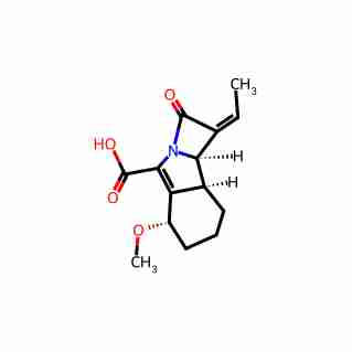 CC=C1C(=O)N2C(C(=O)O)=C3[C@@H](OC)CCC[C@@H]3[C@H]12